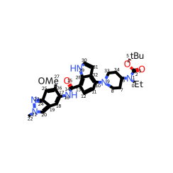 CCN(C(=O)OC(C)(C)C)C1CCN(c2ccc(C(=O)Nc3cc4cn(C)nc4cc3OC)c3[nH]ccc23)CC1